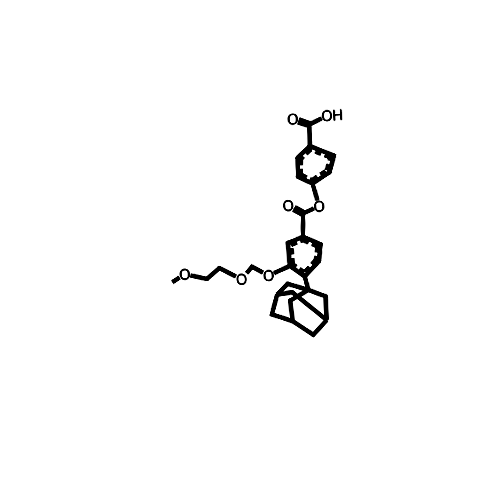 COCCOCOc1cc(C(=O)Oc2ccc(C(=O)O)cc2)ccc1C12CC3CC(CC(C3)C1)C2